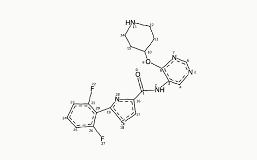 O=C(Nc1cncnc1OC1CCNCC1)c1csc(-c2c(F)cccc2F)n1